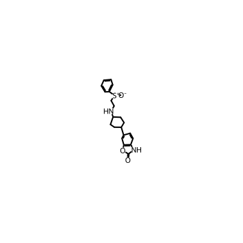 O=c1[nH]c2ccc(C3CCC(NCC[S+]([O-])c4ccccc4)CC3)cc2o1